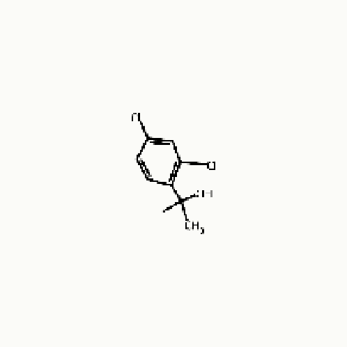 CC(O)(I)c1ccc(Cl)cc1Cl